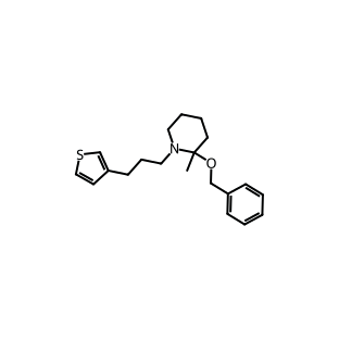 CC1(OCc2ccccc2)CCCCN1CCCc1ccsc1